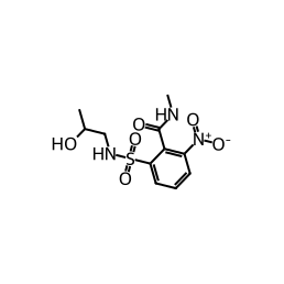 CNC(=O)c1c([N+](=O)[O-])cccc1S(=O)(=O)NCC(C)O